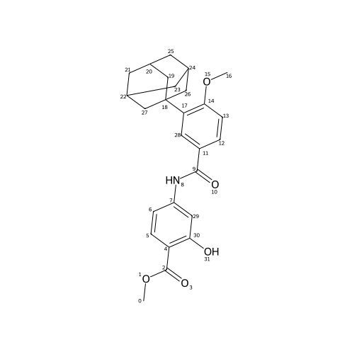 COC(=O)c1ccc(NC(=O)c2ccc(OC)c(C34CC5CC(CC(C5)C3)C4)c2)cc1O